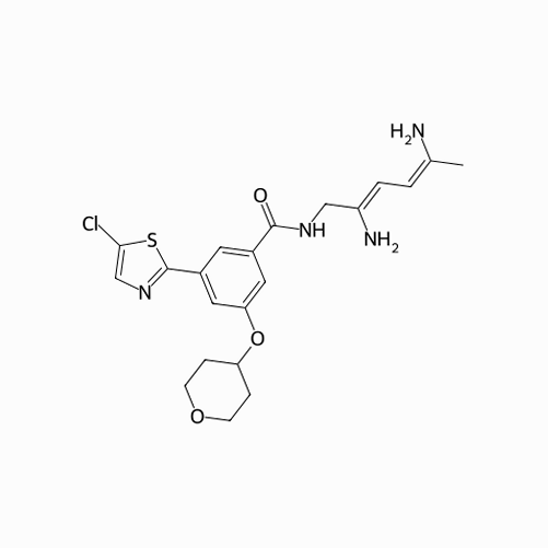 C/C(N)=C/C=C(\N)CNC(=O)c1cc(OC2CCOCC2)cc(-c2ncc(Cl)s2)c1